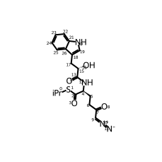 CC(C)SC(=O)[C@H](CCC(=O)C=[N+]=[N-])NC(=O)[C@@H](O)Cc1c[nH]c2ccccc12